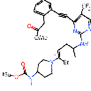 CC/C(=C\CC(C)Nc1ncc(C(F)(F)F)c(C#Cc2ccccc2CC(=O)OC)n1)N1CCC(NC(=O)OC(C)(C)C)CC1